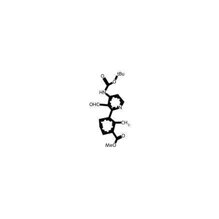 COC(=O)c1cccc(-c2nccc(NC(=O)OC(C)(C)C)c2C=O)c1C